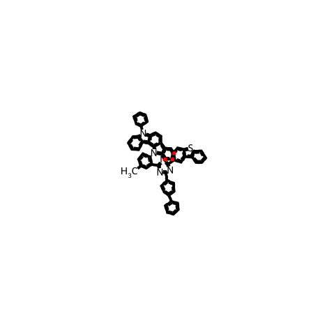 Cc1ccc(-n2c3ccccc3c3ccc4c(c5ccccc5n4-c4ccccc4)c32)c(-c2nc(-c3ccc(-c4ccccc4)cc3)nc(-c3ccc4sc5ccccc5c4c3)n2)c1